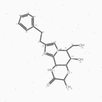 CC1OC2C(NC1=O)c1nc(CCc3ccccc3)cn1C(CO)[C@H]2O